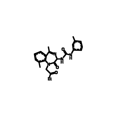 CCC(=O)CN1C(=O)C(NC(=O)Nc2cccc(C)c2)N=C(C)c2cccc(C)c21